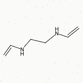 C=CNCCNC=C